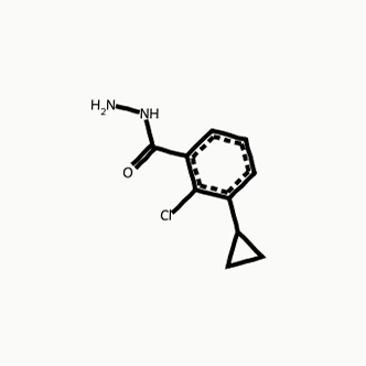 NNC(=O)c1cccc(C2CC2)c1Cl